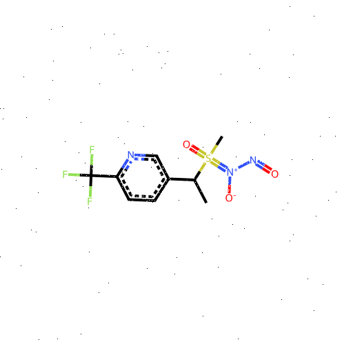 CC(c1ccc(C(F)(F)F)nc1)S(C)(=O)=[N+]([O-])N=O